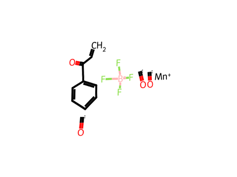 C=CC(=O)c1ccccc1.F[B-](F)(F)F.[C]=O.[C]=O.[C]=O.[Mn+]